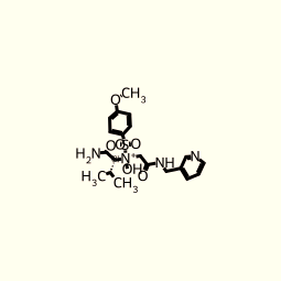 COc1ccc(S(=O)(=O)[N+](O)(CC(=O)NCc2cccnc2)[C@@H](C(N)=O)C(C)C)cc1